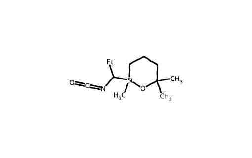 CCC(N=C=O)[Si]1(C)CCCC(C)(C)O1